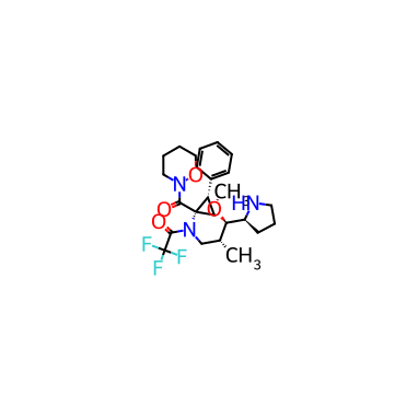 CO[C@H]([C@H](C)CN(C(=O)C(F)(F)F)[C@@]1(C(=O)N2CCCCO2)C[C@H]1c1ccccc1)[C@@H]1CCCN1